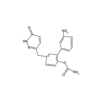 NC(=O)Oc1ccc(Cc2ccc(=O)[nH]n2)cc1-c1cccc([N+](=O)[O-])c1